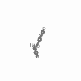 COc1ccc(-c2csc(NC(=O)/C=C/c3ccc(OCc4ccc(SC)cc4)cc3)n2)cc1